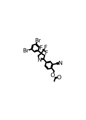 CC(=O)OCc1ccc(C2=NCC(c3cc(Br)cc(Br)c3)(C(F)(F)F)C2)cc1C#N